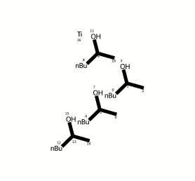 CCCCC(C)O.CCCCC(C)O.CCCCC(C)O.CCCCC(C)O.[Ti]